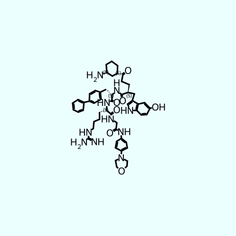 N=C(N)NCCCC[C@H](NC(=O)[C@H](Cc1ccc(-c2ccccc2)cc1)NC(=O)[C@@H](CCC(=O)[C@H]1CCC[C@H](N)C1)Cc1c[nH]c2ccc(O)cc12)C(=O)NCC(=O)Nc1ccc(N2CCOCC2)cc1